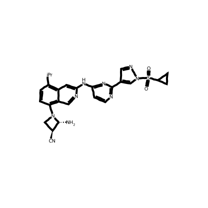 CC(C)c1ccc(N2C[C@H](C#N)[C@H]2N)c2cnc(Nc3ccnc(-c4cnn(S(=O)(=O)C5CC5)c4)n3)cc12